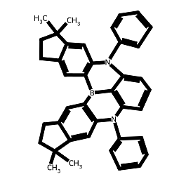 CC1(C)CCc2cc3c(cc21)N(c1ccccc1)c1cccc2c1B3c1cc3c(cc1N2c1ccccc1)C(C)(C)CC3